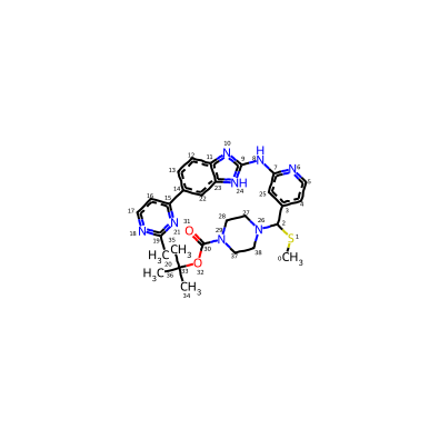 CSC(c1ccnc(Nc2nc3ccc(-c4ccnc(C)n4)cc3[nH]2)c1)N1CCN(C(=O)OC(C)(C)C)CC1